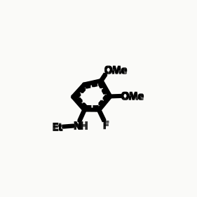 CCNc1ccc(OC)c(OC)c1F